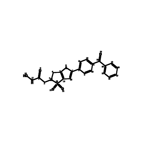 O=C(CN1Cc2sc(-c3ccc(C(=O)c4ccccc4)cc3)cc2S1(=O)=O)NO